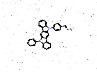 C=Cc1ccc(-n2c3ccccc3c3cc4c(cc32)c2ccccc2n4-c2ccccc2)cc1